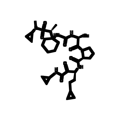 C[C@H](C1(NC(=O)N[C@H](C(=O)N2CCC[C@H]2C(=O)N[C@@H](CCC2CC2)C(=O)C(=O)NC2CC2)C(C)(C)C)CCCCC1)S(=O)(=O)N(C)C1CC1